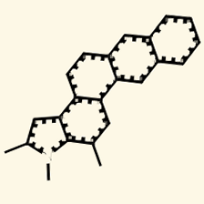 Cc1cc2c3cc4ccccc4cc3ccc2c2cc(C)n(C)c12